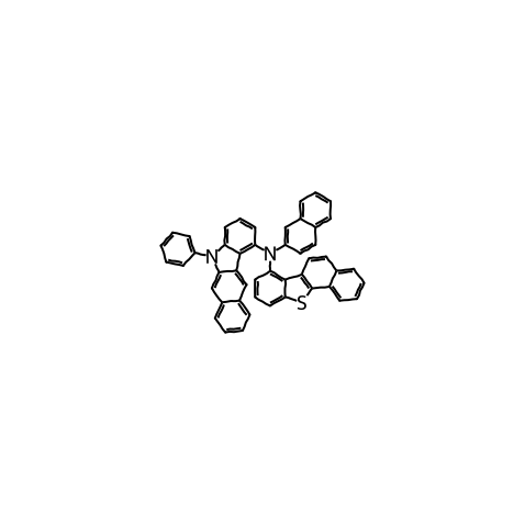 c1ccc(-n2c3cc4ccccc4cc3c3c(N(c4ccc5ccccc5c4)c4cccc5sc6c7ccccc7ccc6c45)cccc32)cc1